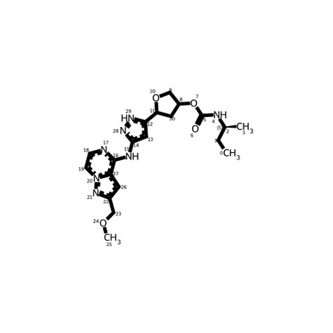 CC[C@H](C)NC(=O)OC1COC(c2cc(Nc3nccn4nc(COC)cc34)n[nH]2)C1